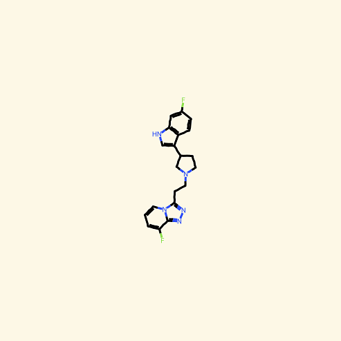 Fc1ccc2c(C3CCN(CCc4nnc5c(F)cccn45)C3)c[nH]c2c1